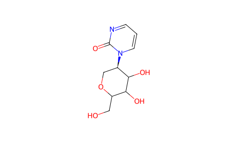 O=c1ncccn1[C@@H]1COC(CO)C(O)C1O